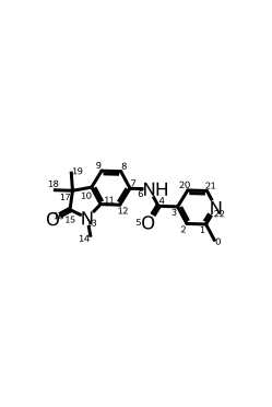 Cc1cc(C(=O)Nc2ccc3c(c2)N(C)C(=O)C3(C)C)ccn1